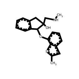 CNCC1(O)Cc2ccccc2C1Oc1cccc2cc(C)sc12